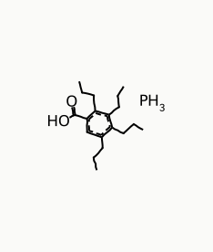 CCCc1cc(C(=O)O)c(CCC)c(CCC)c1CCC.P